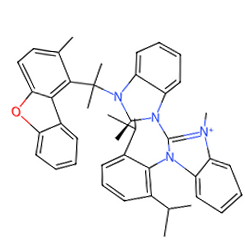 Cc1ccc2oc3ccccc3c2c1C(C)(C)N1c2ccccc2N(c2n(-c3c(C(C)C)cccc3C(C)C)c3ccccc3[n+]2C)[C@H]1C